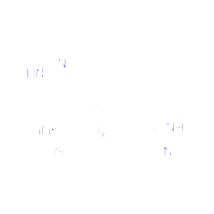 CC(C)CCC(CCCc1c[nH]cn1)OC(CCCc1c[nH]cn1)CCC(C)C